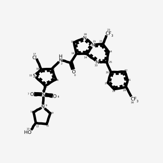 O=C(Nc1cc(S(=O)(=O)N2CCC(O)C2)sc1Cl)c1cnn2c(C(F)(F)F)cc(-c3ccc(C(F)(F)F)cc3)nc12